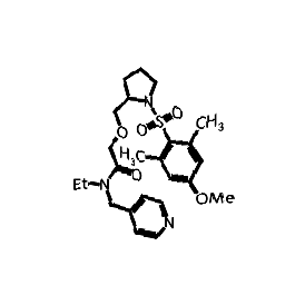 CCN(Cc1ccncc1)C(=O)COCC1CCCN1S(=O)(=O)c1c(C)cc(OC)cc1C